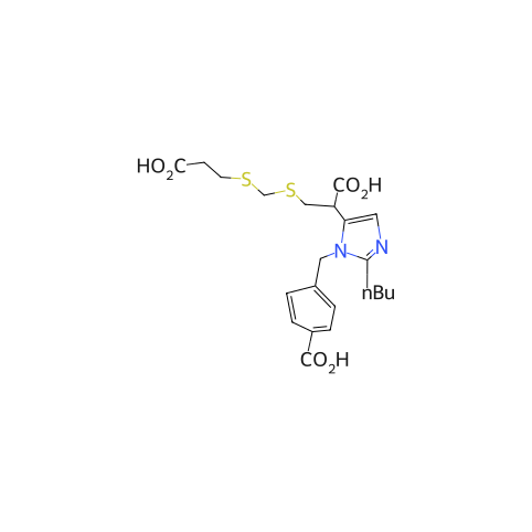 CCCCc1ncc(C(CSCSCCC(=O)O)C(=O)O)n1Cc1ccc(C(=O)O)cc1